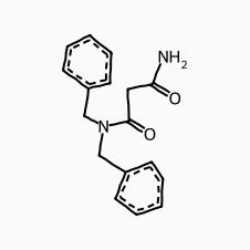 NC(=O)CC(=O)N(Cc1ccccc1)Cc1ccccc1